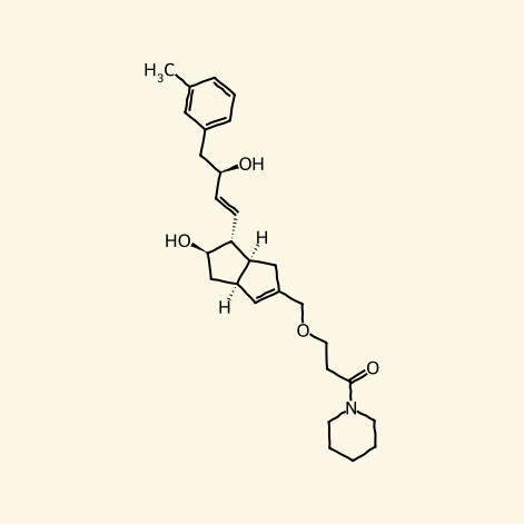 Cc1cccc(C[C@@H](O)/C=C/[C@@H]2[C@H]3CC(COCCC(=O)N4CCCCC4)=C[C@H]3C[C@H]2O)c1